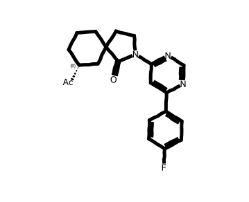 CC(=O)[C@@H]1CCCC2(CCN(c3cc(-c4ccc(F)cc4)ncn3)C2=O)C1